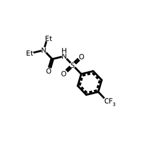 CCN(CC)C(=O)NS(=O)(=O)c1ccc(C(F)(F)F)cc1